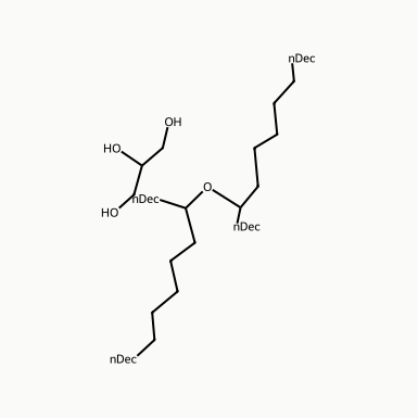 CCCCCCCCCCCCCCCC(CCCCCCCCCC)OC(CCCCCCCCCC)CCCCCCCCCCCCCCC.OCC(O)CO